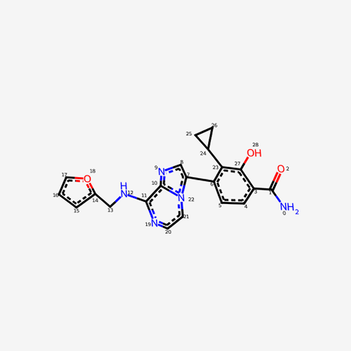 NC(=O)c1ccc(-c2cnc3c(NCc4ccco4)nccn23)c(C2CC2)c1O